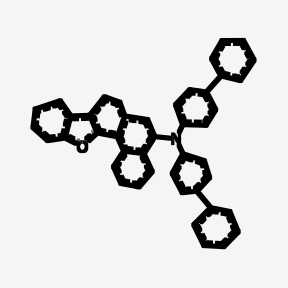 c1ccc(-c2ccc(N(c3ccc(-c4ccccc4)cc3)c3cc4ccc5c6ccccc6oc5c4c4ccccc34)cc2)cc1